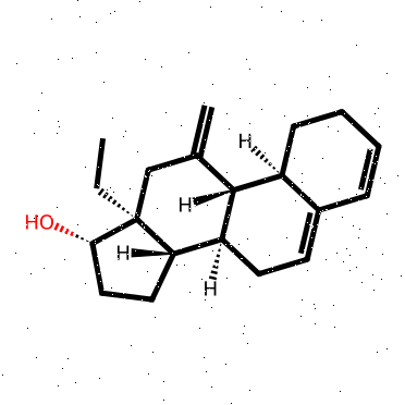 C=C1C[C@]2(CC)[C@@H](O)CC[C@H]2[C@@H]2CC=C3C=CCC[C@@H]3[C@@H]12